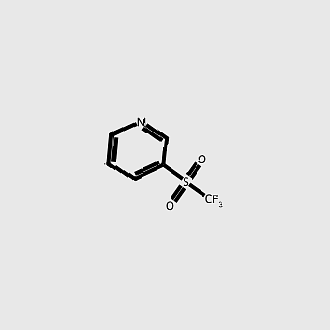 O=S(=O)(c1c[c]cnc1)C(F)(F)F